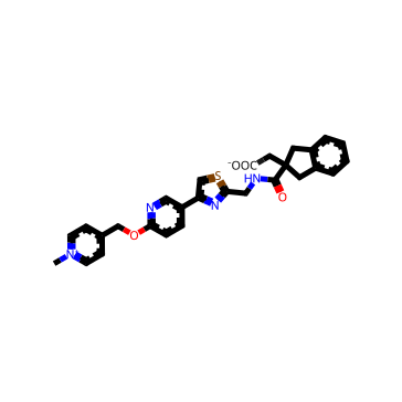 C[n+]1ccc(COc2ccc(-c3csc(CNC(=O)C4(CC(=O)[O-])Cc5ccccc5C4)n3)cn2)cc1